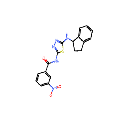 O=C(Nc1nnc(NC2CCc3ccccc32)s1)c1cccc([N+](=O)[O-])c1